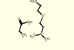 CCC(=O)O.CCCCCCCCCCOCCN(C)C